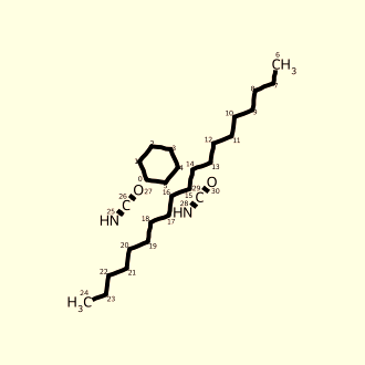 C1CCCCC1.CCCCCCCCCCCCCCCCCCC.N=C=O.N=C=O